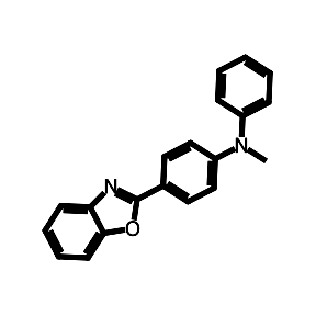 CN(c1ccccc1)c1ccc(-c2nc3ccccc3o2)cc1